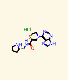 Cl.O=C(NC[C@@H]1CCCN1)C1=CN(c2ncnc3[nH]cnc23)CCS1